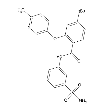 CC(C)(C)c1ccc(C(=O)Nc2cccc(S(N)(=O)=O)c2)c(Oc2ccc(C(F)(F)F)nc2)c1